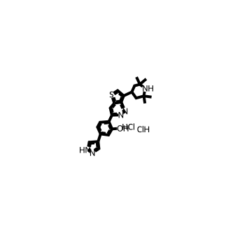 CC1(C)CC(c2csc3cc(-c4ccc(-c5cn[nH]c5)cc4O)nnc23)CC(C)(C)N1.Cl.Cl